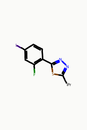 CC(C)c1nnc(-c2ccc(I)cc2F)s1